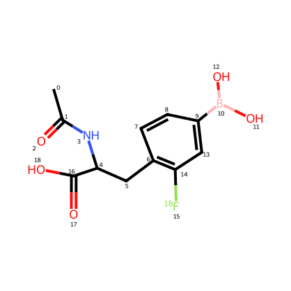 CC(=O)NC(Cc1ccc(B(O)O)cc1[18F])C(=O)O